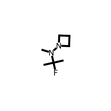 CN(N1CCC1)C(C)(C)F